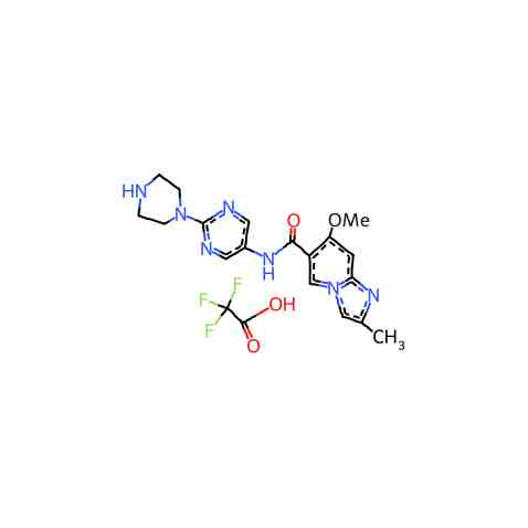 COc1cc2nc(C)cn2cc1C(=O)Nc1cnc(N2CCNCC2)nc1.O=C(O)C(F)(F)F